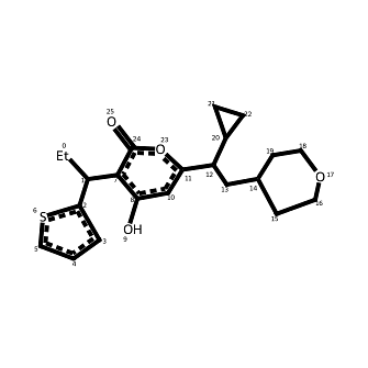 CCC(c1cccs1)c1c(O)cc(C(CC2CCOCC2)C2CC2)oc1=O